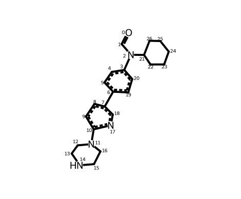 O=CN(c1ccc(-c2ccc(N3CCNCC3)nc2)cc1)C1CCCCC1